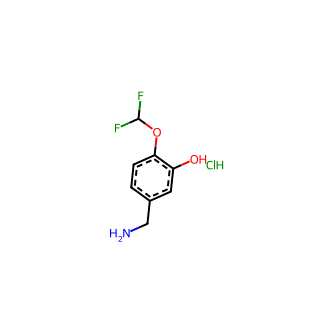 Cl.NCc1ccc(OC(F)F)c(O)c1